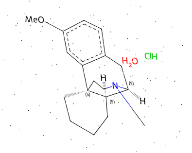 COc1ccc2c(c1)[C@]13CCCC[C@@H]1[C@H](C2)N(C)CC3.Cl.O